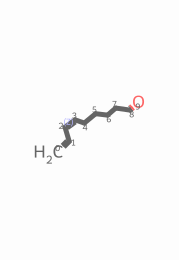 C=C/C=C\CCCCC=O